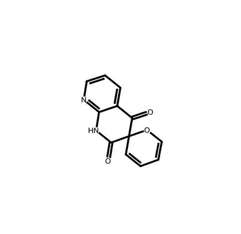 O=C1Nc2ncccc2C(=O)C12C=CC=CO2